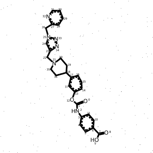 O=C(Nc1ccc(C(=O)O)cc1)Oc1cccc(C2CCN(Cc3cn(Cc4ccccn4)nn3)CC2)c1